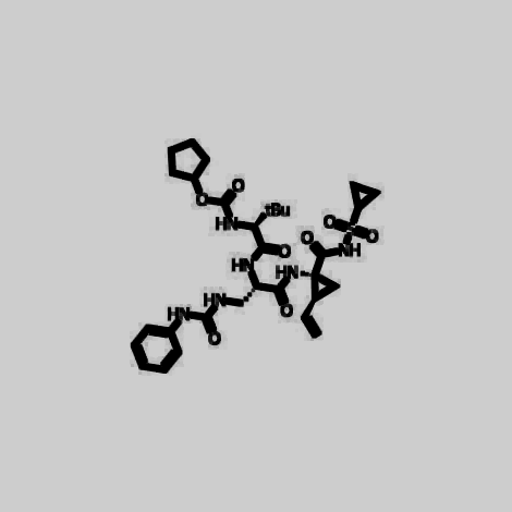 C=C[C@@H]1C[C@]1(NC(=O)[C@H](CNC(=O)Nc1ccccc1)NC(=O)[C@@H](NC(=O)OC1CCCC1)C(C)(C)C)C(=O)NS(=O)(=O)C1CC1